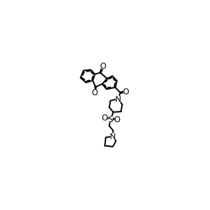 O=C1c2ccccc2C(=O)c2cc(C(=O)N3CCC(S(=O)(=O)CCN4CCCC4)CC3)ccc21